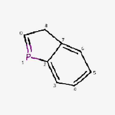 C1=Pc2ccccc2C1